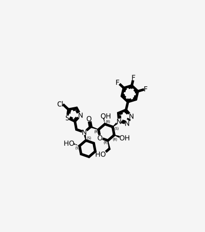 O=C([C@@H]1O[C@H](CO)[C@H](O)[C@H](n2cc(-c3cc(F)c(F)c(F)c3)nn2)[C@H]1O)N(Cc1ncc(Cl)s1)[C@H]1CCCC[C@@H]1O